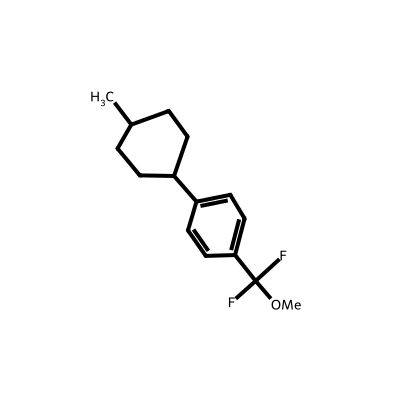 COC(F)(F)c1ccc(C2CCC(C)CC2)cc1